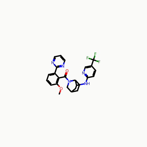 COc1cccc(-c2ncccn2)c1C(=O)N1CC2CCC1C(Nc1ccc(C(F)(F)F)cn1)C2